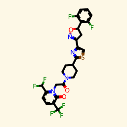 O=C(Cn1c(C(F)F)ccc(C(F)(F)F)c1=O)N1CCC(c2nc(C3=NOC(c4c(F)cccc4F)C3)cs2)CC1